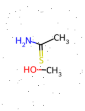 CC(N)=S.CO